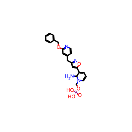 NC1C(c2cc(Cc3ccnc(OCc4ccccc4)c3)no2)=CC=CN1COP(=O)(O)O